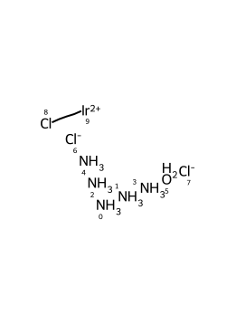 N.N.N.N.N.O.[Cl-].[Cl-].[Cl][Ir+2]